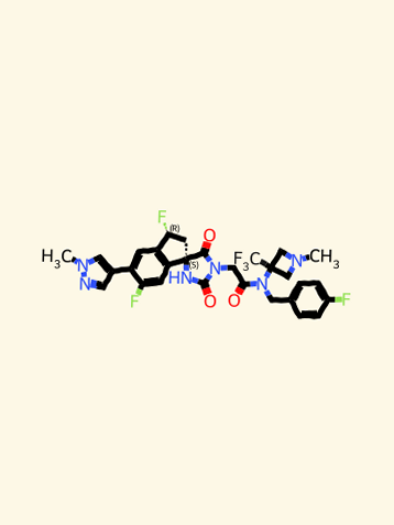 CN1CC(N(Cc2ccc(F)cc2)C(=O)CN2C(=O)N[C@]3(C[C@@H](F)c4cc(-c5cnn(C)c5)c(F)cc43)C2=O)(C(F)(F)F)C1